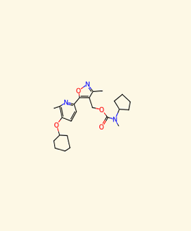 Cc1nc(-c2onc(C)c2COC(=O)N(C)C2CCCC2)ccc1OC1CCCCC1